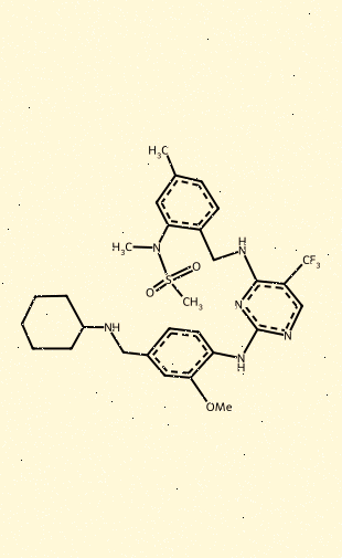 COc1cc(CNC2CCCCC2)ccc1Nc1ncc(C(F)(F)F)c(NCc2ccc(C)cc2N(C)S(C)(=O)=O)n1